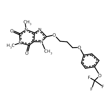 Cn1c(=O)c2c(nc(OCCCOc3ccc(OC(F)(F)F)cc3)n2C)n(C)c1=O